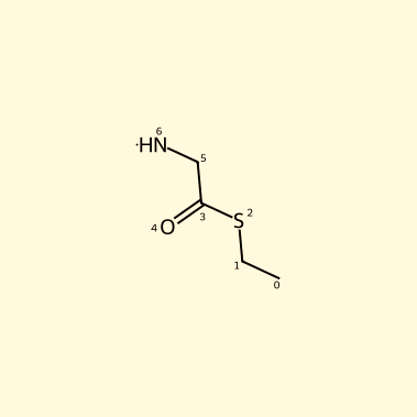 CCSC(=O)C[NH]